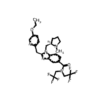 CCOc1ccc(Cc2nc3cc(C(=O)N(CC(F)(F)F)CC(F)(F)F)ccc3n2C[C@H]2CCCN2C)nc1